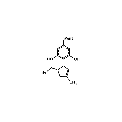 CCCCCc1cc(O)c([C@@H]2C=C(C)C[C@H]2CC(C)C)c(O)c1